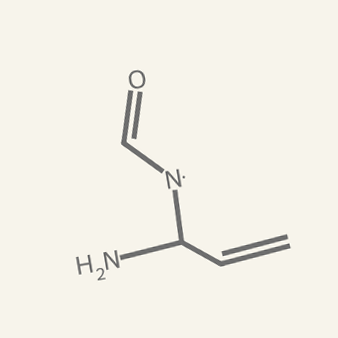 C=CC(N)[N]C=O